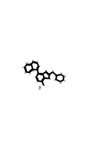 Cc1ccc(-c2cccc3ccccc23)c2c1[CH]C(CC1CCCCC1)=C2.[Zr]